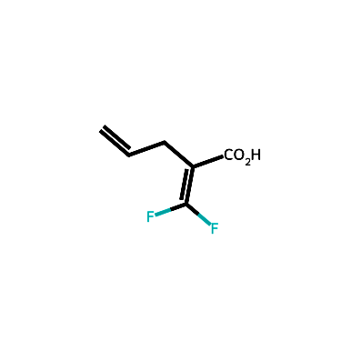 C=CCC(C(=O)O)=C(F)F